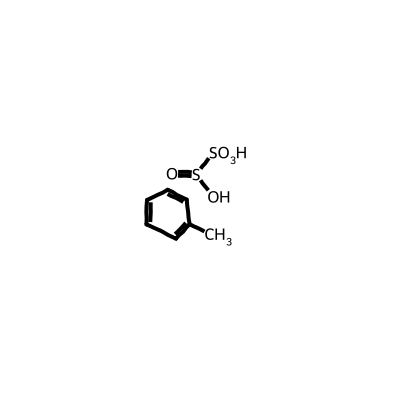 Cc1ccccc1.O=S(O)S(=O)(=O)O